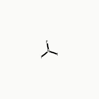 FN(I)I